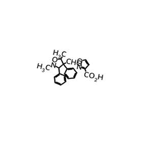 CC1ON(C)C(c2ccccc2)C1(C=O)c1ccccc1.O=C(O)c1ccon1